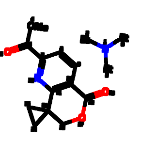 CCN(CC)CC.COC(=O)c1ccc2c(n1)C1(CC1)COC2=O